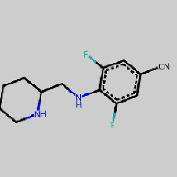 N#Cc1cc(F)c(NCC2CCCCN2)c(F)c1